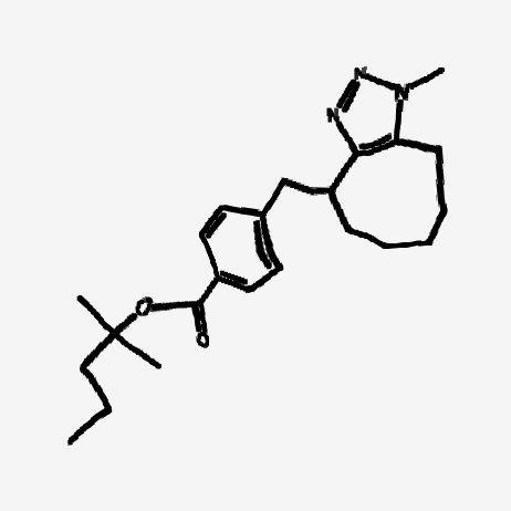 CCCC(C)(C)OC(=O)c1ccc(CC2CCCCCc3c2nnn3C)cc1